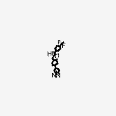 CC(F)(F)c1ccc(NC(=O)Cc2ccc(-c3ccn4ncnc4c3)cc2)cc1